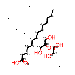 CCCCCCCCCCCCCC(=O)O.OCC(O)CO.OCCO